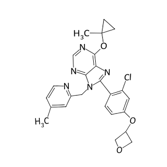 Cc1ccnc(Cn2c(-c3ccc(OC4COC4)cc3Cl)nc3c(OC4(C)CC4)ncnc32)c1